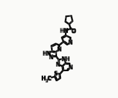 Cc1ccc(-c2cncc3[nH]c(-c4n[nH]c5ccc(-c6cncc(NC(=O)C7CCCC7)c6)nc45)nc23)s1